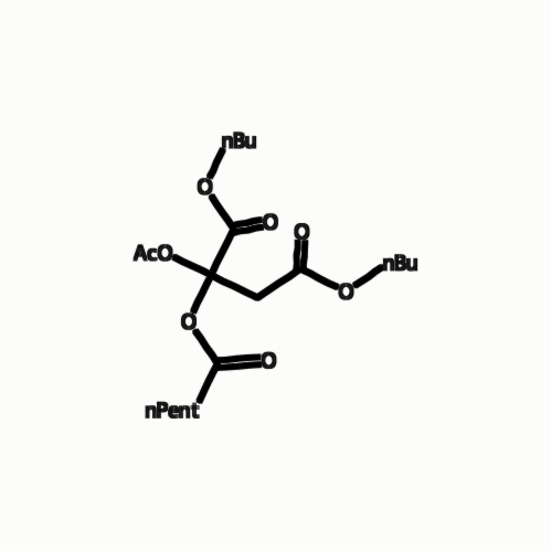 CCCCCC(=O)OC(CC(=O)OCCCC)(OC(C)=O)C(=O)OCCCC